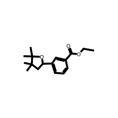 CCOC(=O)c1cccc(C2CC(C)(C)C(C)(C)O2)c1